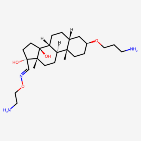 C[C@]12CC[C@H](OCCCN)C[C@H]1CC[C@@H]1[C@@H]2CC[C@]2(C)[C@@](O)(/C=N/OCCN)CC[C@]12O